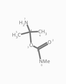 CNC(=O)OC(C)(C)N